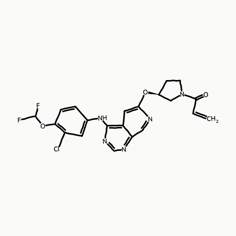 C=CC(=O)N1CC[C@H](Oc2cc3c(Nc4ccc(OC(F)F)c(Cl)c4)ncnc3cn2)C1